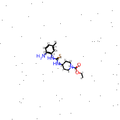 CCOC(=O)N1CCC(NC(=S)Nc2cc(C)ccc2N)CC1